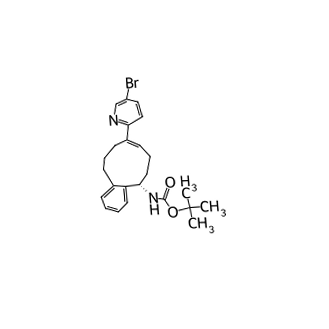 CC(C)(C)OC(=O)N[C@H]1CC/C=C(/c2ccc(Br)cn2)CCCc2ccccc21